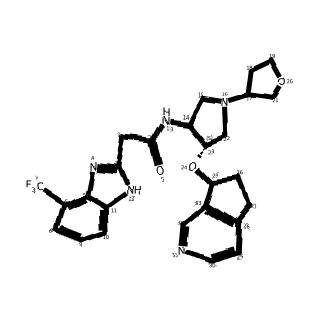 O=C(Cc1nc2c(C(F)(F)F)cccc2[nH]1)NC1CN(C2CCOC2)C[C@@H]1OC1CCc2ccncc21